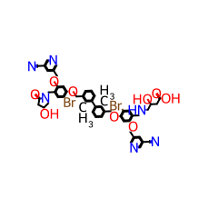 Cc1c(COc2cc(OCc3cncc(C#N)c3)c(CNCC(O)CC(=O)O)cc2Br)cccc1-c1cccc(COc2cc(OCc3cncc(C#N)c3)c(CN3CC(O)CC3=O)cc2Br)c1C